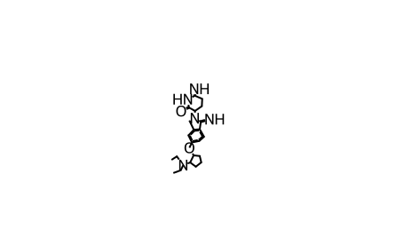 CCN(CC)C1CCCC1Oc1ccc2c(c1)CN(C1CCC(=N)NC1=O)C2=N